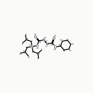 CC(C)C[Si](CC(C)C)(CC(C)C)OC(=O)/N=N/C(=O)OC1CCCCC1